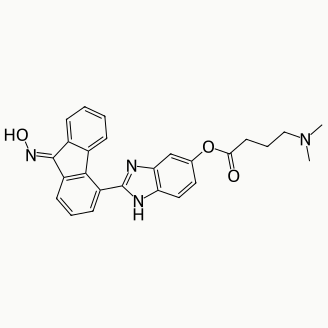 CN(C)CCCC(=O)Oc1ccc2[nH]c(-c3cccc4c3-c3ccccc3C4=NO)nc2c1